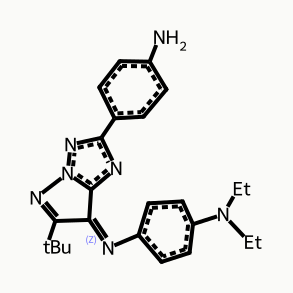 CCN(CC)c1ccc(/N=C2/C(C(C)(C)C)=Nn3nc(-c4ccc(N)cc4)nc32)cc1